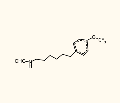 O=[C]NCCCCCCc1ccc(OC(F)(F)F)cc1